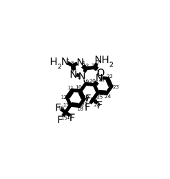 NC(=O)c1nc(N)nn1[C@@H](c1ccc(C(F)(F)F)cc1)c1ncccc1C(F)(F)F